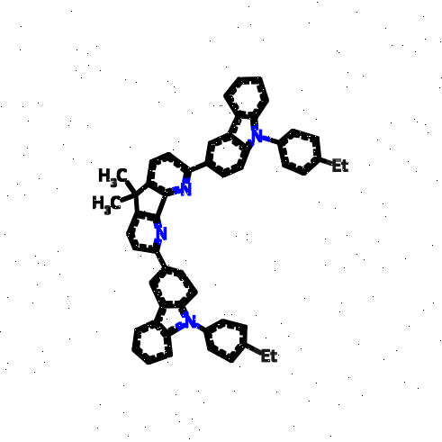 CCc1ccc(-n2c3ccccc3c3cc(-c4ccc5c(n4)-c4nc(-c6ccc7c(c6)c6ccccc6n7-c6ccc(CC)cc6)ccc4C5(C)C)ccc32)cc1